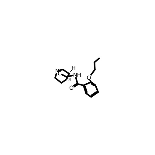 CCCOc1ccccc1C(=O)N[C@@H]1CN2CCC1CC2